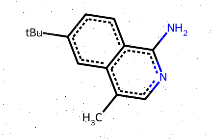 Cc1cnc(N)c2ccc(C(C)(C)C)cc12